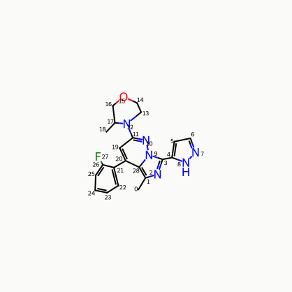 Cc1nc(-c2ccn[nH]2)n2nc(N3CCOCC3C)cc(-c3ccccc3F)c12